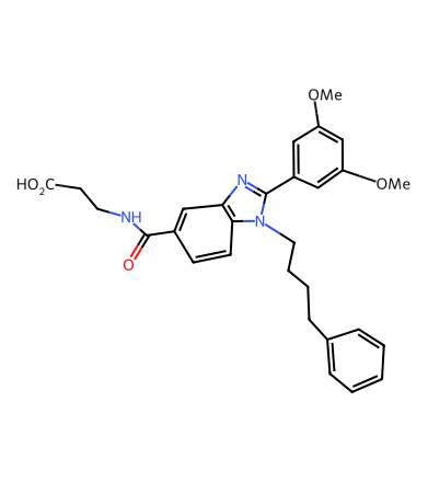 COc1cc(OC)cc(-c2nc3cc(C(=O)NCCC(=O)O)ccc3n2CCCCc2ccccc2)c1